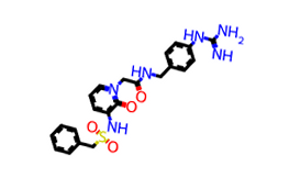 N=C(N)Nc1ccc(CNC(=O)Cn2cccc(NS(=O)(=O)Cc3ccccc3)c2=O)cc1